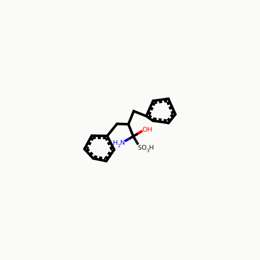 NC(O)(C(Cc1ccccc1)Cc1ccccc1)S(=O)(=O)O